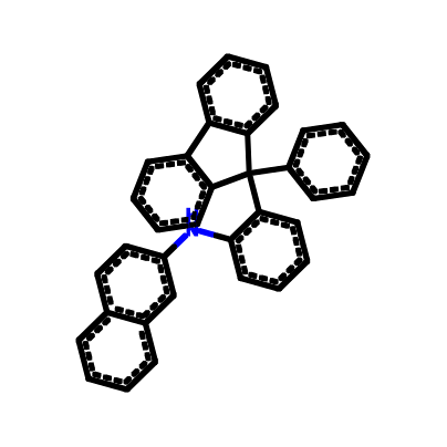 c1ccc(C2(c3ccccc3Nc3ccc4ccccc4c3)c3ccccc3-c3ccccc32)cc1